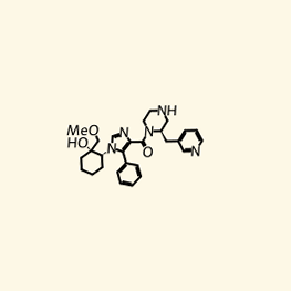 COC[C@]1(O)CCCC[C@H]1n1cnc(C(=O)N2CCNC[C@H]2Cc2cccnc2)c1-c1ccccc1